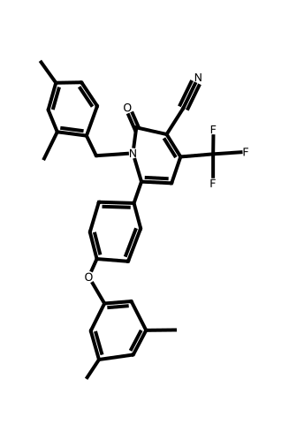 Cc1cc(C)cc(Oc2ccc(-c3cc(C(F)(F)F)c(C#N)c(=O)n3Cc3ccc(C)cc3C)cc2)c1